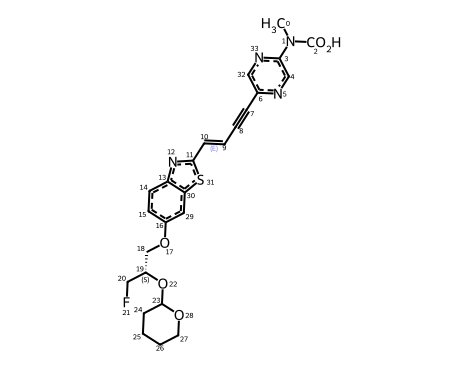 CN(C(=O)O)c1cnc(C#C/C=C/c2nc3ccc(OC[C@@H](CF)OC4CCCCO4)cc3s2)cn1